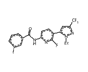 CCn1nc(C(F)(F)F)cc1-c1ccc(NC(=O)c2cccc(C)c2)nc1F